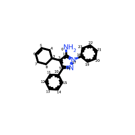 Nc1c(C2CC=CCC2)c(-c2ccccc2)nn1-c1ccccc1